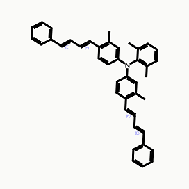 Cc1cc(N(c2ccc(/C=C/C=C/c3ccccc3)c(C)c2)c2c(C)cccc2C)ccc1/C=C/C=C/c1ccccc1